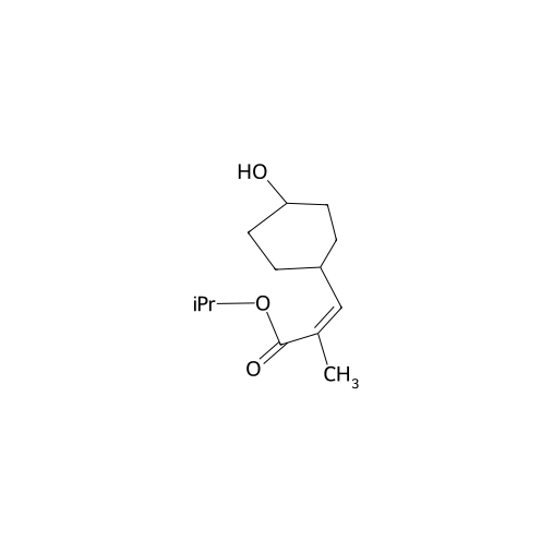 CC(=CC1CCC(O)CC1)C(=O)OC(C)C